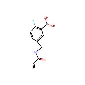 C=CC(=O)NCc1ccc(F)c(B(O)O)c1